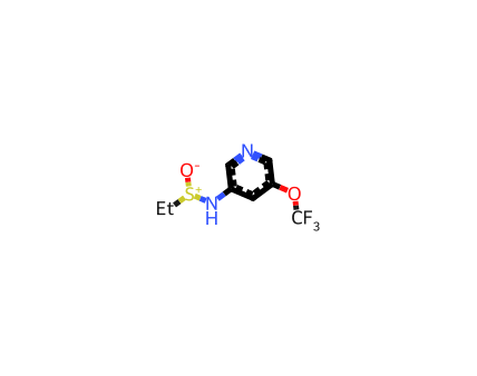 CC[S+]([O-])Nc1cncc(OC(F)(F)F)c1